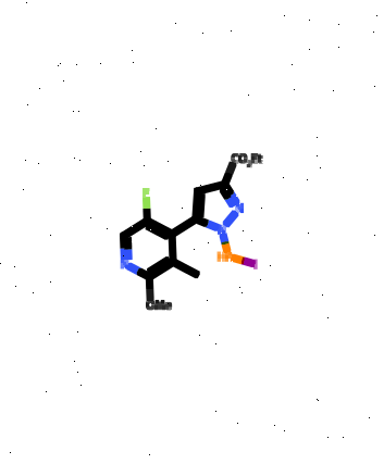 CCOC(=O)c1cc(-c2c(F)cnc(OC)c2C)n(PI)n1